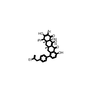 C=C(CC)Cc1ccc(-c2ccc(O)c3c2C[C@]2(C)C[C@]4(C)C(C(C)C)C(O)=C(C(C)=O)C(=O)[C@]4(O)C(O)=C2C3=O)cc1